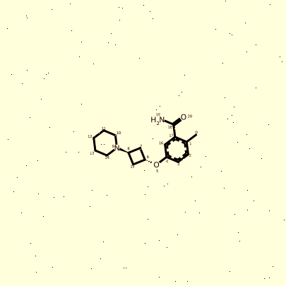 Cc1ccc(O[C@H]2C[C@H](N3CCCCC3)C2)cc1C(N)=O